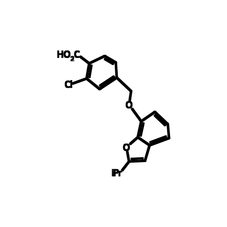 CC(C)c1cc2cccc(OCc3ccc(C(=O)O)c(Cl)c3)c2o1